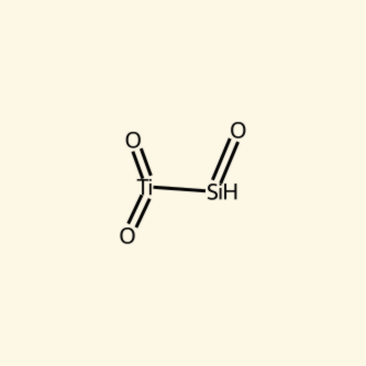 O=[SiH][Ti](=[O])=[O]